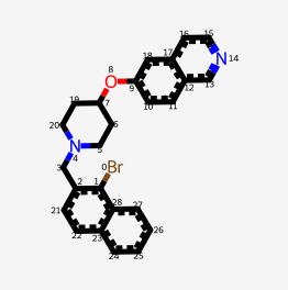 Brc1c(CN2CCC(Oc3ccc4cnccc4c3)CC2)ccc2ccccc12